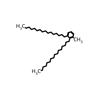 CCCCCCCCCCCCCCCCc1cccc(C)c1CCCCCCCCCCCCCCCC